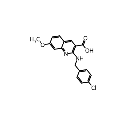 COc1ccc2cc(C(=O)O)c(NCc3ccc(Cl)cc3)nc2c1